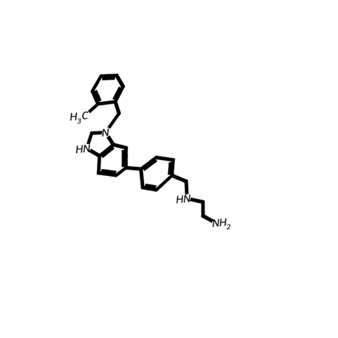 Cc1ccccc1CN1CNc2ccc(-c3ccc(CNCCN)cc3)cc21